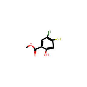 COC(=O)c1cc(Cl)c(S)cc1O